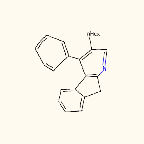 CCCCCCc1cnc2c(c1-c1ccccc1)-c1ccccc1C2